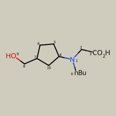 CCCCN(CC(=O)O)C1CCC(CO)C1